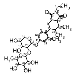 CCN1C(=O)C2CC(c3ccc(OC4OCC(O)C(O)C4OC4OC(C)C(O)C(O)C4O)cc3C)C(C)C(C)C2C1=O